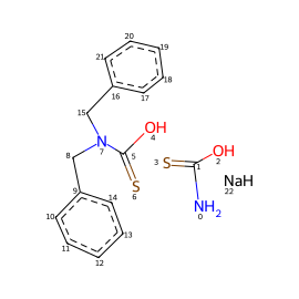 NC(O)=S.OC(=S)N(Cc1ccccc1)Cc1ccccc1.[NaH]